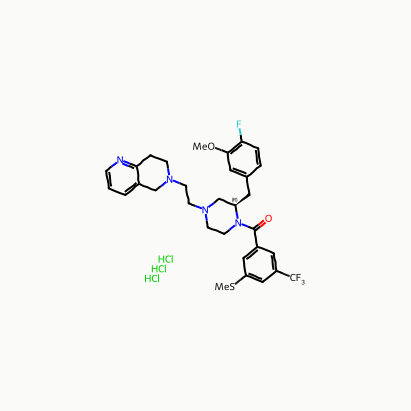 COc1cc(C[C@@H]2CN(CCN3CCc4ncccc4C3)CCN2C(=O)c2cc(SC)cc(C(F)(F)F)c2)ccc1F.Cl.Cl.Cl